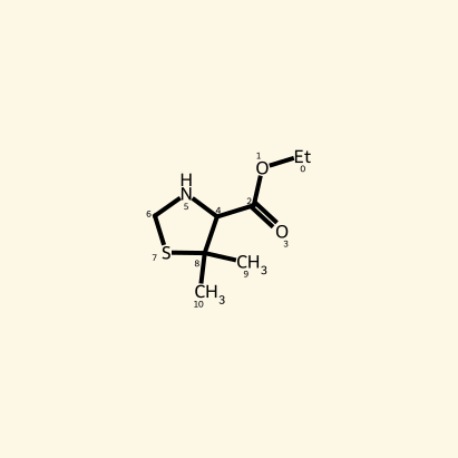 CCOC(=O)C1NCSC1(C)C